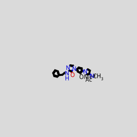 COc1cc(-n2ccnc(NCCc3ccccc3)c2=O)ccc1N1CCC(N(C)C(C)=O)C1